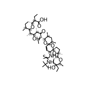 CCC(C(=O)[C@@H](C)[C@@H](O)[C@H](C)[C@@H]1O[C@@H]([C@@H](CC)C(=O)O)CC[C@@H]1C)[C@H]1O[C@]2(C=C[C@@H](NC(=S)NC(C)(C)C)[C@]3(CC[C@@](C)([C@H]4CC[C@](O)(CC)[C@H](C)O4)O3)O2)[C@H](C)C[C@@H]1C